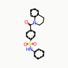 O=C(c1ccc(S(=O)(=O)Nc2ccccc2)cc1)N1CCCc2ccccc21